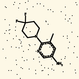 Cc1cc(N)cnc1N1CCC(F)(F)CC1